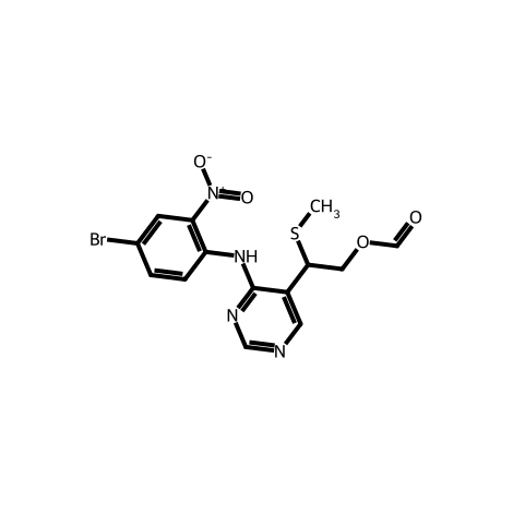 CSC(COC=O)c1cncnc1Nc1ccc(Br)cc1[N+](=O)[O-]